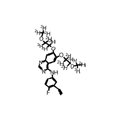 [2H]C([2H])([2H])OC([2H])([2H])C([2H])([2H])Oc1cc2ncnc(Nc3ccc(F)c(C#C)c3)c2cc1OC([2H])([2H])C([2H])([2H])OC([2H])([2H])[2H]